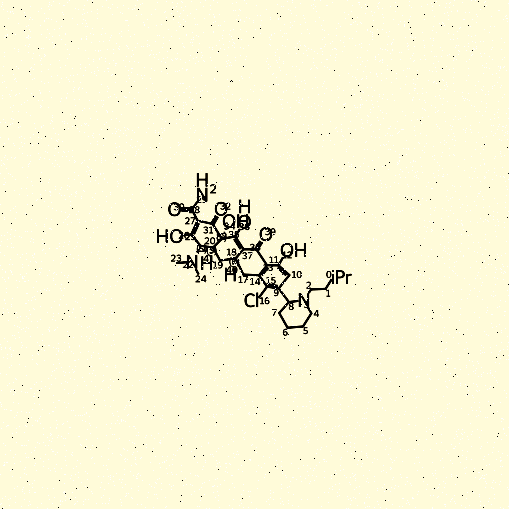 CC(C)CCN1CCCCC1c1cc(O)c2c(c1Cl)C[C@H]1C[C@H]3[C@H](N(C)C)C(O)=C(C(N)=O)C(=O)[C@@]3(O)C(O)=C1C2=O